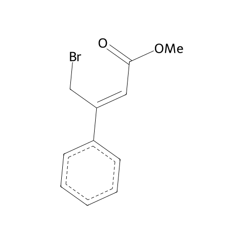 COC(=O)C=C(CBr)c1ccccc1